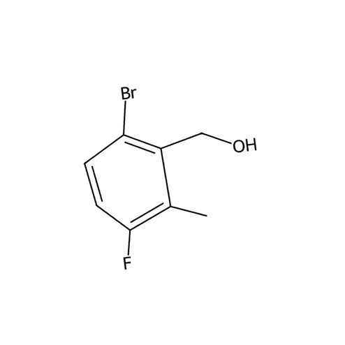 Cc1c(F)ccc(Br)c1CO